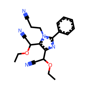 CCOC(C#N)c1nc(-c2ccccc2)n(CCC#N)c1C(C#N)OCC